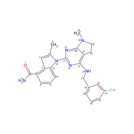 Cc1cc2c(C(N)=O)cccc2n1-c1nc(NCc2cccc(F)c2)c2c(n1)N(C)CC2